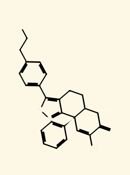 C[C@@H]1C(=O)C(C#N)=C[C@]2(c3ccccc3)c3n[nH]c(-c4ccc(CCO)cc4)c3CCC12